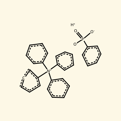 O=P([O-])([O-])c1ccccc1.[H+].c1ccc([N+](c2ccccc2)(c2ccccc2)c2ccccc2)cc1